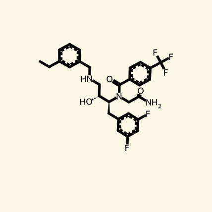 CCc1cccc(CNC[C@@H](O)[C@H](Cc2cc(F)cc(F)c2)N(CC(N)=O)C(=O)c2ccc(C(F)(F)F)cc2)c1